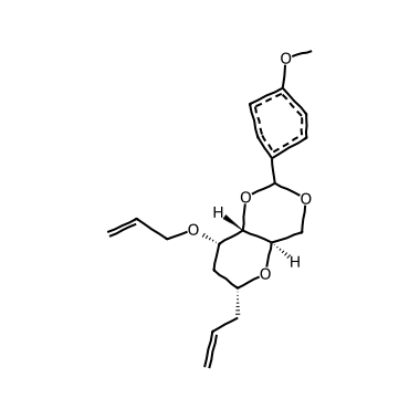 C=CCO[C@H]1C[C@@H](CC=C)O[C@@H]2COC(c3ccc(OC)cc3)O[C@@H]12